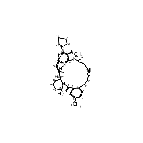 C=C1c2cc(C)ccc2CCCNCCN(C)c2c(F)c(N3CCCC3)nc3cc(nn23)[C@@H]2CCCCN12